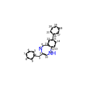 C1=NC(Cc2ccccc2)=CNc2ccc(-c3ccccc3)cc21